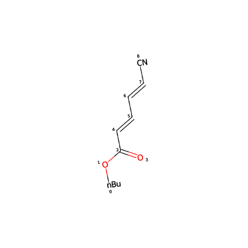 CCCCOC(=O)C=CC=CC#N